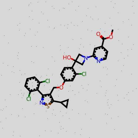 COC(=O)c1ccnc(N2CC(O)(c3ccc(OCc4c(-c5c(Cl)cccc5Cl)nsc4C4CC4)cc3Cl)C2)c1